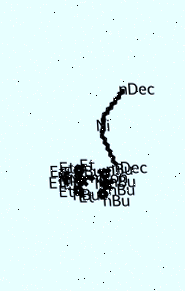 CCCCC1=C(c2cc(CCCC)cc(CCCC)c2)[N+](=[N-])C(c2cc(CCCC)cc(CCCC)c2)=C1CCCC.CCCCCCCCCC=CC1=C(c2cc(CC)cc(CC)c2)[N+](=[N-])C(c2cc(CC)cc(CC)c2)=C1C.CCCCCCCCCCCCCCCCCCCCC#[C][Ni][C]#CCCCCCCCCCCCCCCCCCCCC.CC[N](CC)[Ni][N](CC)CC